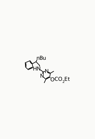 CCCCC(CNc1nc(C)c(OC(=O)OCC)c(C)n1)c1ccccc1